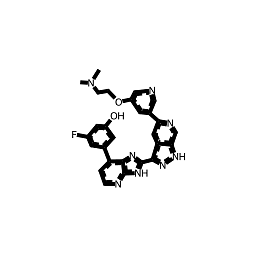 CN(C)CCOc1cncc(-c2cc3c(-c4nc5c(-c6cc(O)cc(F)c6)ccnc5[nH]4)n[nH]c3cn2)c1